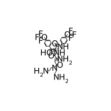 NCCN(CCN)C(=O)C[C@H](N)C(=O)N[C@H](C(=O)Nc1ccc(OC(F)(F)F)cc1)[C@H](O)c1ccc(OC(F)(F)F)cc1